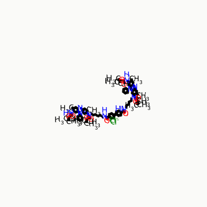 Cc1cc2nc3cc(C)c(N(CCCCCCNC(=O)c4ccc(-c5ccc(C(=O)NCCCCCCN(C(=O)OC(C)(C)C)c6cc7c(cc6C)nc6cc(C)c(NC(=O)OC(C)(C)C)cc6[n+]7-c6ccccc6)cc5)cc4)C(=O)OC(C)(C)C)cc3[n+](-c3ccccc3)c2cc1NC(=O)OC(C)(C)C.[Cl-].[Cl-]